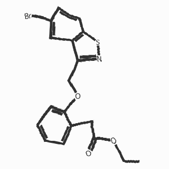 CCOC(=O)Cc1ccccc1OCc1nsc2ccc(Br)cc12